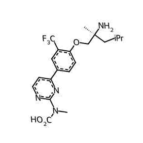 CC(C)C[C@](C)(N)COc1ccc(-c2ccnc(N(C)C(=O)O)n2)cc1C(F)(F)F